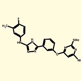 CSc1nc(N)cc(Oc2cccc(-c3nnc(Nc4ccc(F)c(C)c4)[nH]3)c2)n1